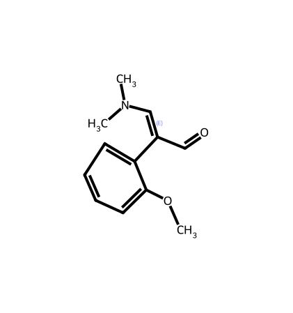 COc1ccccc1/C(C=O)=C\N(C)C